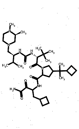 CC(C)[C@@H](CN1CCN(C)[C@@H](C)C1)NC(=O)N[C@@H](C(=O)N1CC(C(C)(C)C2CCC2)CC1C(=O)NC(CC1CCC1)C(=O)C(N)=O)C(C)(C)C